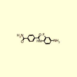 NC(=O)c1ccc(C(=O)Nc2ccc(N)cc2F)cc1